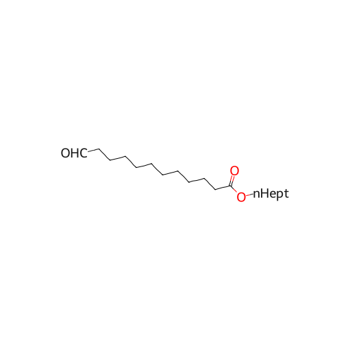 CCCCCCCOC(=O)CCCCCCCCCCC=O